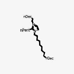 CCCCCCCCCCCCCCCCCCC[n+]1ccn(CCCCCCCCCCCC)c1CCCCC